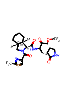 O=C(COC(F)(F)F)C(C[C@@H]1CCNC1=O)NC(=O)[C@@H]1[C@H]2CCCC[C@H]2CN1C(=O)c1csc(C(F)(F)F)n1